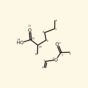 C=COC(C)=O.CCCCC(C)C(=O)O